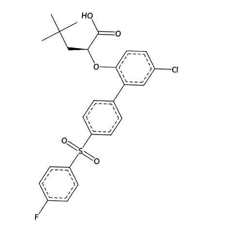 CC(C)(C)C[C@H](Oc1ccc(Cl)cc1-c1ccc(S(=O)(=O)c2ccc(F)cc2)cc1)C(=O)O